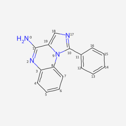 Nc1nc2ccccc2n2c(-c3ccccc3)ncc12